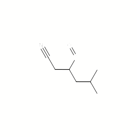 C[C](C)CC(CC#N)[S+]=O